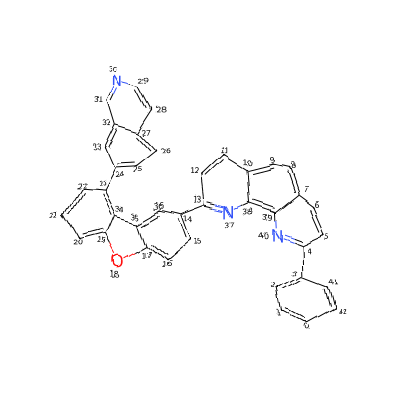 c1ccc(-c2ccc3ccc4ccc(-c5ccc6oc7cccc(-c8ccc9ccncc9c8)c7c6c5)nc4c3n2)cc1